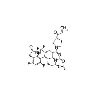 C=CC(=O)N1CCN(c2nc(=O)n3c4c(c(-c5c(F)cc(F)c6sc(=O)[nH]c56)c(C(F)(F)F)cc24)SC[C@@H]3C)CC1